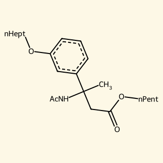 CCCCCCCOc1cccc(C(C)(CC(=O)OCCCCC)NC(C)=O)c1